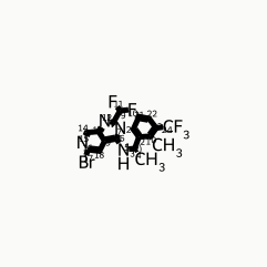 Cc1c([C@@H](C)Nc2nc(C(F)F)nc3cnc(Br)cc23)cccc1C(F)(F)F